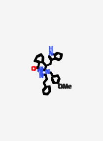 COc1ccc(Cn2c(CCc3ccccc3)nnc2[C@H](Cc2c[nH]c3ccccc23)c2ccccc2C(N)=O)cc1